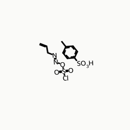 C=CCN=NOS(=O)(=O)Cl.Cc1ccc(S(=O)(=O)O)cc1